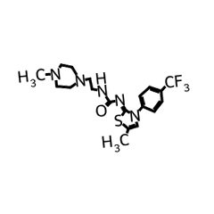 Cc1cn(-c2ccc(C(F)(F)F)cc2)c(=NC(=O)NCCN2CCN(C)CC2)s1